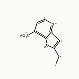 O=C(O)c1ccnc2cc(CI)oc12